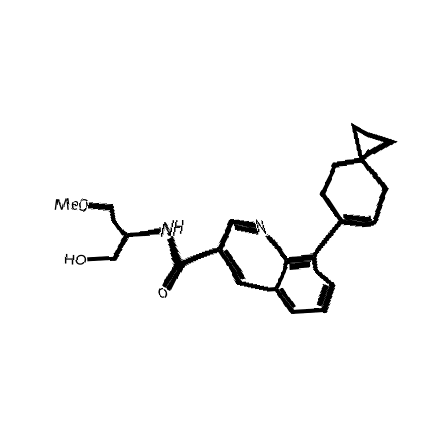 COCC(CO)NC(=O)c1cnc2c(C3=CCC4(CC3)CC4)cccc2c1